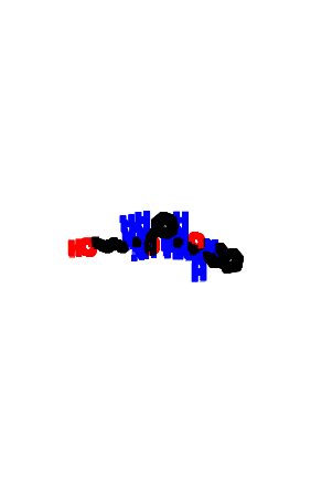 N=C(NCCCCO)NC(=O)c1cccc2[nH]c(NC(=O)Nc3cc4ccccc4cn3)nc12